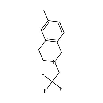 Cc1ccc2c(c1)CCN(CC(F)(F)F)C2